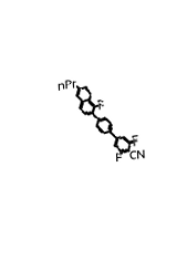 CCCc1ccc2c(F)c(-c3ccc(-c4cc(F)c(C#N)c(F)c4)cc3)ccc2c1